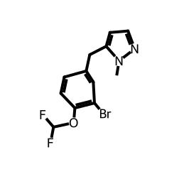 Cn1nccc1Cc1ccc(OC(F)F)c(Br)c1